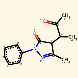 CC(=O)C(C)C1C(=O)N(c2ccccc2)N=C1C